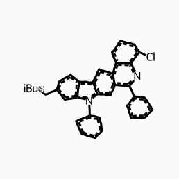 CC[C@H](C)Cc1ccc2c3cc4c(cc3n(-c3ccccc3)c2c1)c(-c1ccccc1)nc1c(Cl)cccc14